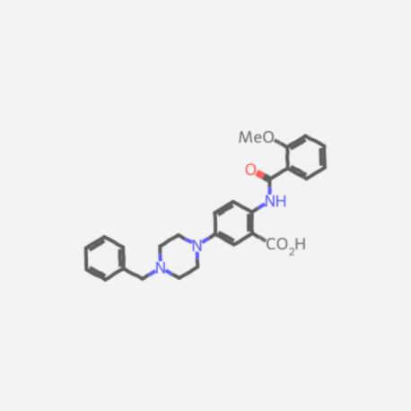 COc1ccccc1C(=O)Nc1ccc(N2CCN(Cc3ccccc3)CC2)cc1C(=O)O